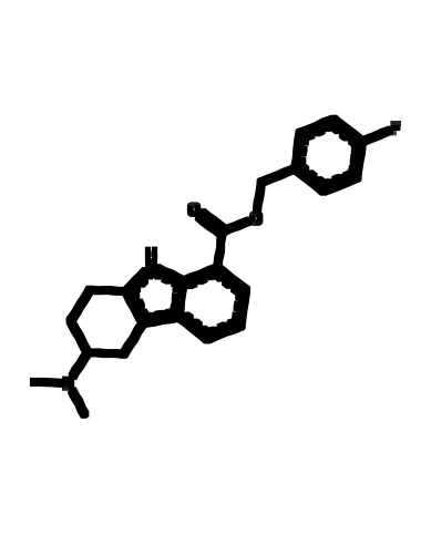 CN(C)C1CCc2[nH]c3c(C(=O)OCc4ccc(F)cc4)cccc3c2C1